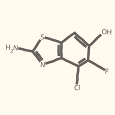 Nc1nc2c(Cl)c(F)c(O)cc2s1